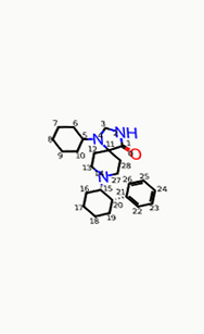 O=C1NCN(C2CCCCC2)C12CCN([C@H]1CCCC[C@H]1c1ccccc1)CC2